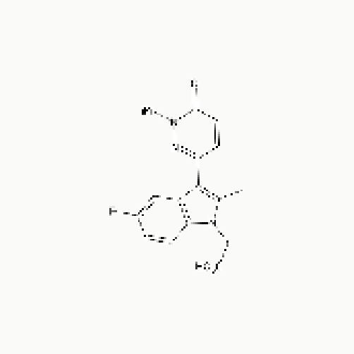 Cc1c(-c2ccc(=O)n(C(C)C)n2)c2cc(F)ccc2n1CC(=O)O